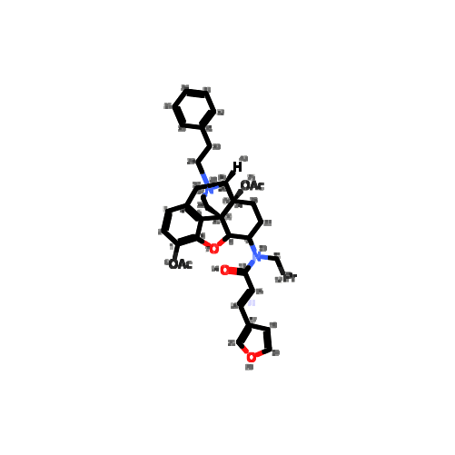 CC(=O)Oc1ccc2c3c1OC1C(N(CC(C)C)C(=O)/C=C/c4ccoc4)CC[C@@]4(OC(C)=O)[C@@H](C2)N(CCc2ccccc2)CC[C@]314